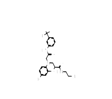 CCCNC(=O)C1CN(CC(=O)Nc2cccc(C(F)(F)F)c2)c2ccc(F)cc2O1